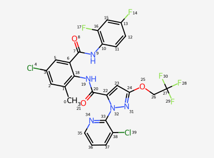 Cc1cc(Cl)cc(C(=O)Nc2ccc(F)cc2F)c1NC(=O)c1cc(OCC(F)(F)F)nn1-c1ncccc1Cl